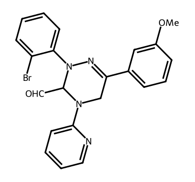 COc1cccc(C2=NN(c3ccccc3Br)C(C=O)N(c3ccccn3)C2)c1